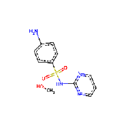 CO.Nc1ccc(S(=O)(=O)Nc2ncccn2)cc1